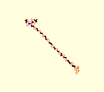 CC(C)(C)OC(=O)N(CCOCCOCCOCCOCCOCCOCCOCCOCCOCCOCCOS(C)(=O)=O)C(=O)OC(C)(C)C